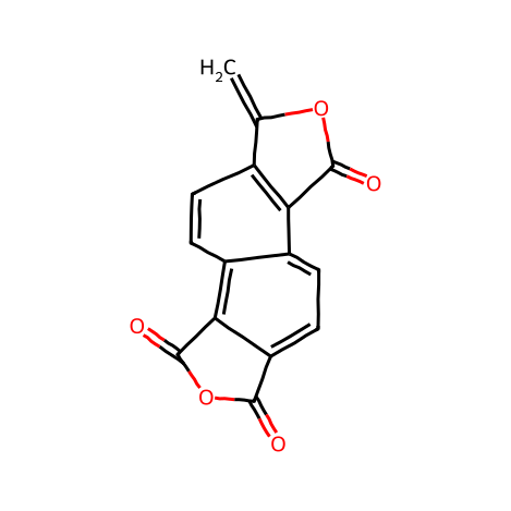 C=C1OC(=O)c2c1ccc1c3c(ccc21)C(=O)OC3=O